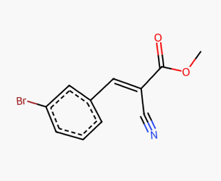 COC(=O)/C(C#N)=C/c1cccc(Br)c1